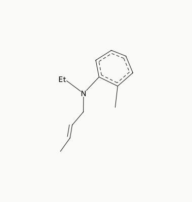 C/C=C/CN(CC)c1ccccc1C